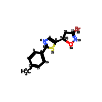 Cc1ccc(-c2ncc([C@H]3CC(Br)=NO3)s2)cc1